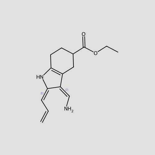 C=C/C=c1/[nH]c2c(/c1=C/N)CC(C(=O)OCC)CC2